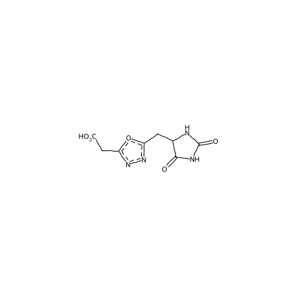 O=C(O)Cc1nnc(CC2NC(=O)NC2=O)o1